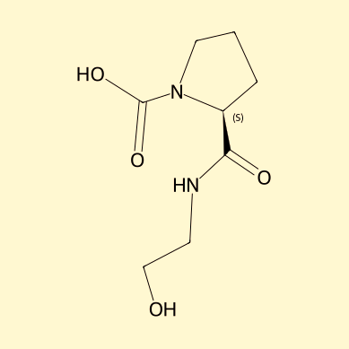 O=C(NCCO)[C@@H]1CCCN1C(=O)O